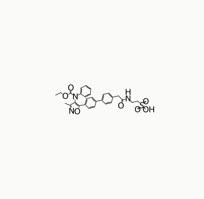 CCOC(=O)N(c1ccccc1)c1c(C)noc1-c1ccc(-c2ccc(CC(=O)NCCS(=O)(=O)O)cc2)cc1